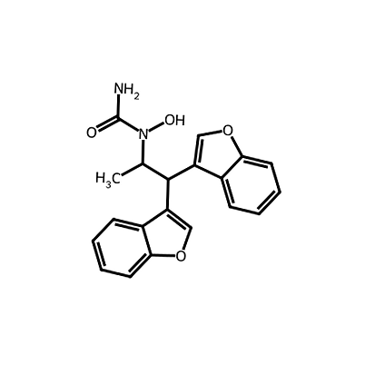 CC(C(c1coc2ccccc12)c1coc2ccccc12)N(O)C(N)=O